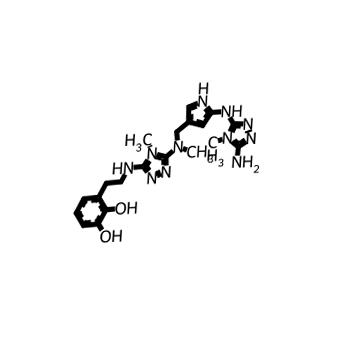 CN(Cc1c[nH]c(Nc2nnc(N)n2C)c1)c1nnc(NCCc2cccc(O)c2O)n1C